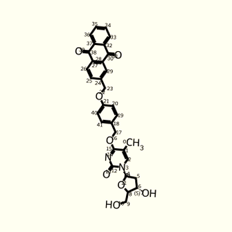 Cc1cn([C@H]2C[C@H](O)C(CO)O2)c(=O)nc1OCc1ccc(OCc2ccc3c(c2)C(=O)c2ccccc2C3=O)cc1